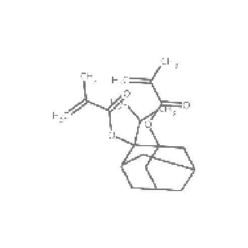 C=C(C)C(=O)OC12CC3CC(CC(C3)C1(OC(=O)C(=C)C)C(C)C)C2